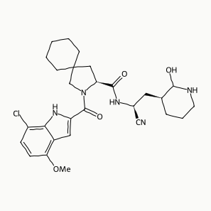 COc1ccc(Cl)c2[nH]c(C(=O)N3CC4(CCCCC4)C[C@H]3C(=O)N[C@H](C#N)C[C@@H]3CCCNC3O)cc12